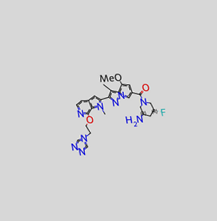 COc1cc(C(=O)N2C[C@H](N)C[C@@H](F)C2)cn2nc(-c3cc4ccnc(OCCn5cnnc5)c4n3C)c(C)c12